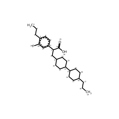 CCCc1ccc(C(CC2CCC(C3CCC(CCC)CC3)CC2)C(=O)O)cc1F